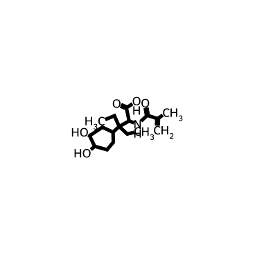 C=C(C)C(=O)NC(C(=O)O)C(CC)(CC)C1CCC(O)C(O)C1